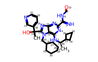 C[C@@H](Nc1nc(C(=N)NC=O)nc2nc(C(C)(O)c3cccnc3)n(CC3CCCCC3)c12)C1CCC1